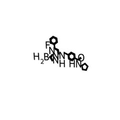 Bc1cnn2c(NCc3ccc(C(=O)NC4CCCC4)cc3)cc(-c3ccccc3F)nc12